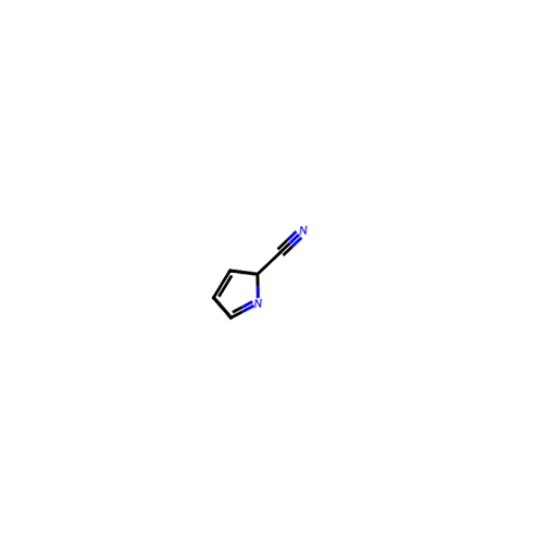 N#CC1C=CC=N1